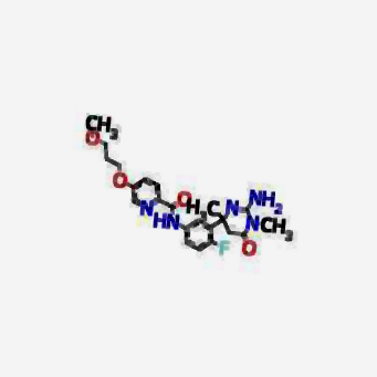 COCCCOc1ccc(C(=O)Nc2ccc(F)c(C3(C)CC(=O)N(C)C(N)=N3)c2)nc1